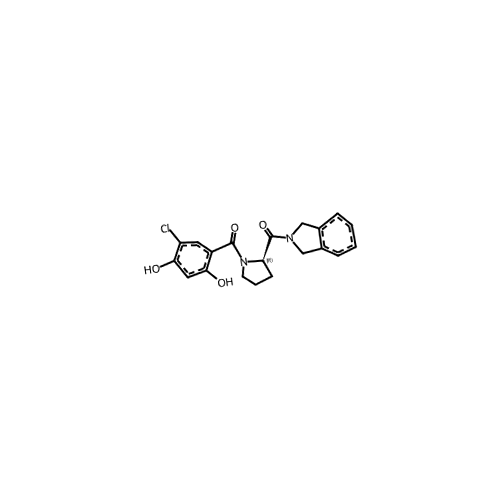 O=C([C@H]1CCCN1C(=O)c1cc(Cl)c(O)cc1O)N1Cc2ccccc2C1